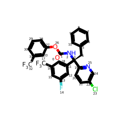 O=C(N[C@@](Cc1ccccc1)(c1cc(F)cc(C(F)(F)F)c1)c1ccc(Cl)cn1)Oc1cccc(C(F)(F)F)c1